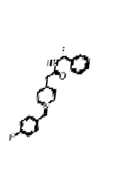 C[C@@H](NC(=O)CC1CCN(Cc2ccc(F)cc2)CC1)c1ccccc1